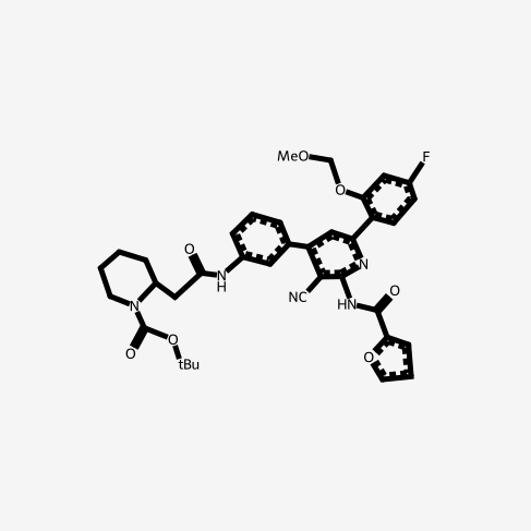 COCOc1cc(F)ccc1-c1cc(-c2cccc(NC(=O)CC3CCCCN3C(=O)OC(C)(C)C)c2)c(C#N)c(NC(=O)c2ccco2)n1